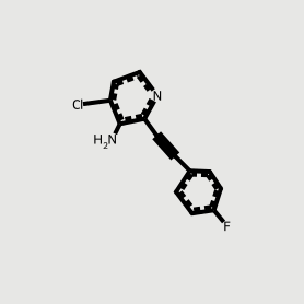 Nc1c(Cl)ccnc1C#Cc1ccc(F)cc1